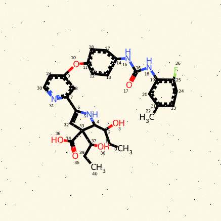 CCC(O)C1NC(c2cc(Oc3ccc(NC(=O)Nc4cc(C)ccc4F)cc3)ccn2)=CC1(C(=O)O)C(O)CC